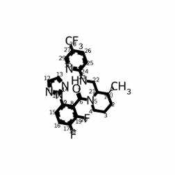 C[C@@H]1CCCN(C(=O)c2c(-n3nccn3)ccc(F)c2F)C1CNc1ccc(C(F)(F)F)cn1